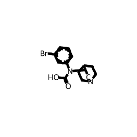 O=C(O)N(c1cccc(Br)c1)C1CN2CCC1CC2